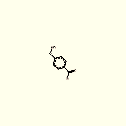 CCCOc1ccc(C(=O)CC)cc1